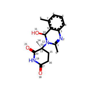 CC1=Nc2cccc(C)c2C(O)N1[C@@]1(C)CCC(=O)NC1=O